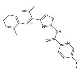 C=C(C)/C(=C\C1=CCCC=C1C)c1csc(NC(=O)c2ccc(OC)cn2)n1